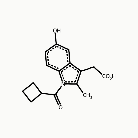 Cc1c(CC(=O)O)c2cc(O)ccc2n1C(=O)C1CCC1